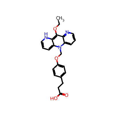 CCOC1=C2NC=CC=C2N(COc2ccc(CCC(=O)O)cc2)c2cccnc21